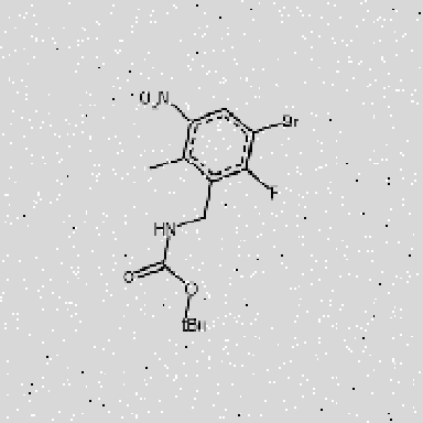 Cc1c([N+](=O)[O-])cc(Br)c(F)c1CNC(=O)OC(C)(C)C